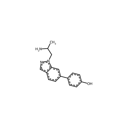 CC(N)Cn1ncc2ccc(-c3ccc(O)cc3)cc21